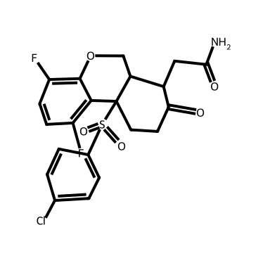 NC(=O)CC1C(=O)CCC2(S(=O)(=O)c3ccc(Cl)cc3)c3c(F)ccc(F)c3OCC12